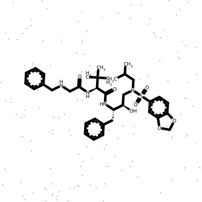 CC(C)CN(C[C@@H](O)[C@H](Cc1ccccc1)NC(=O)[C@@H](NC(=O)CNCc1ccccc1)C(C)(C)C)S(=O)(=O)c1ccc2c(c1)OCO2